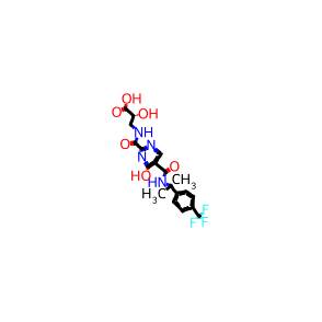 CC(C)(NC(=O)c1cnc(C(=O)NC[C@@H](O)C(=O)O)nc1O)c1ccc(C(F)(F)F)cc1